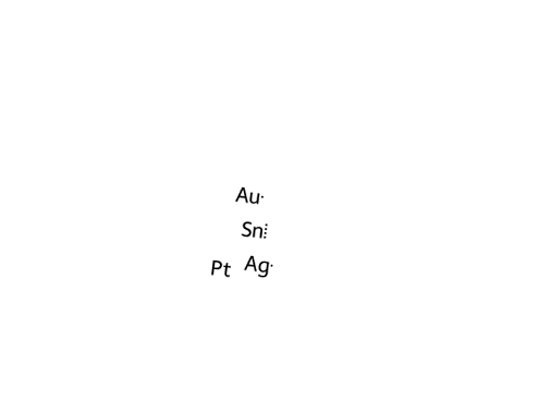 [Ag].[Au].[Pt].[Sn]